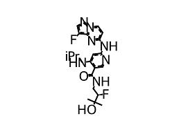 CC(C)Nc1cc(Nc2ccn3ncc(F)c3n2)ncc1C(=O)NC[C@@H](F)C(C)(C)O